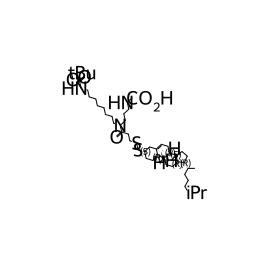 CC(C)CCCC(C)[C@H]1CC[C@H]2[C@@H]3CC=C4C[C@@H](SSCCC(=O)N(CCCCCCCCNC(=O)OC(C)(C)C)CCCNC(=O)O)CC[C@]4(C)[C@H]3CC[C@]12C